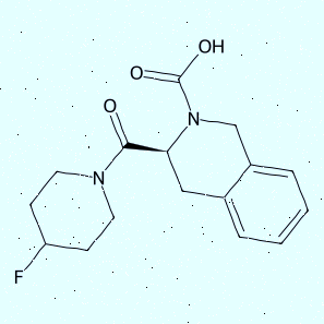 O=C([C@@H]1Cc2ccccc2CN1C(=O)O)N1CCC(F)CC1